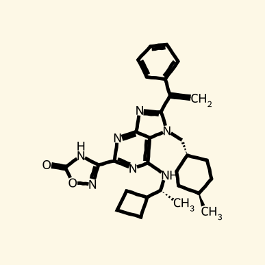 C=C(c1ccccc1)c1nc2nc(-c3noc(=O)[nH]3)nc(N[C@H](C)C3CCC3)c2n1C[C@H]1CC[C@H](C)CC1